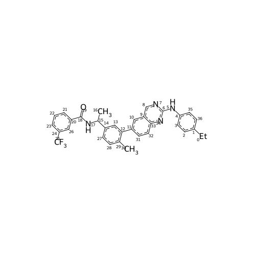 CCc1ccc(Nc2ncc3cc(-c4cc(C(C)NC(=O)c5cccc(C(F)(F)F)c5)ccc4C)ccc3n2)cc1